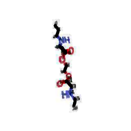 CCCNCC(=O)O[CH]COC(=O)CNCC